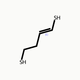 S/C=C/CCS